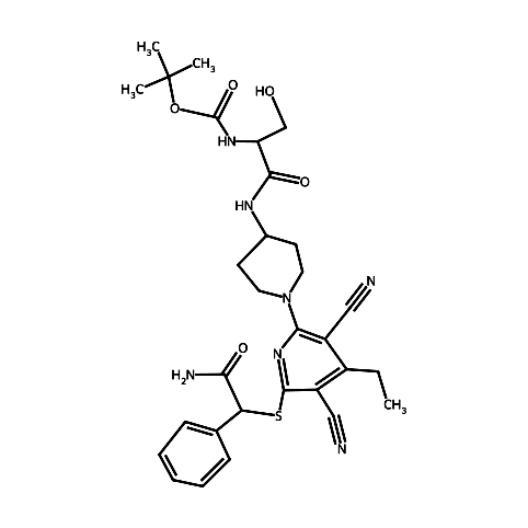 CCc1c(C#N)c(SC(C(N)=O)c2ccccc2)nc(N2CCC(NC(=O)C(CO)NC(=O)OC(C)(C)C)CC2)c1C#N